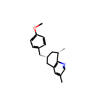 COc1ccc(C[C@H]2Cc3cc(C)cnc3[C@@H](C)C2)cc1